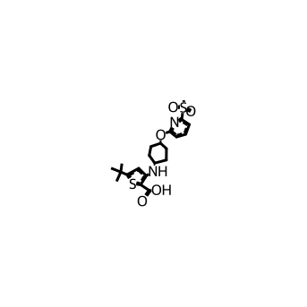 CC(C)(C)c1cc(N[C@H]2CC[C@H](Oc3cccc(S(C)(=O)=O)n3)CC2)c(C(=O)O)s1